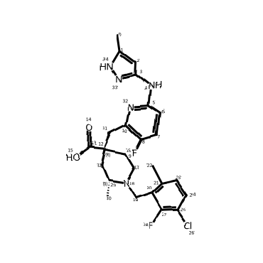 Cc1cc(Nc2ccc(F)c(C[C@@]3(C(=O)O)CCN(Cc4c(C)ccc(Cl)c4F)[C@H](C)C3)n2)n[nH]1